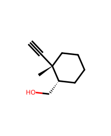 C#C[C@]1(C)CCCC[C@@H]1CO